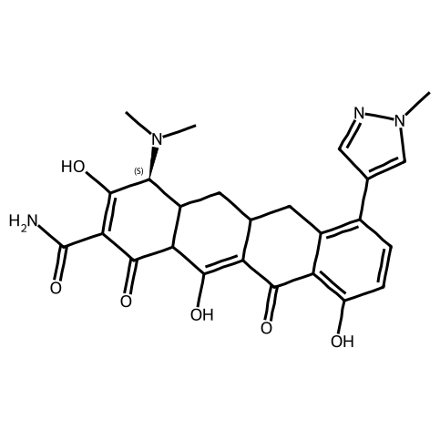 CN(C)[C@@H]1C(O)=C(C(N)=O)C(=O)C2C(O)=C3C(=O)c4c(O)ccc(-c5cnn(C)c5)c4CC3CC21